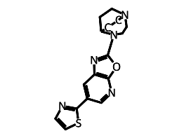 c1csc(-c2cnc3oc(N4CCN5CCC4CC5)nc3c2)n1